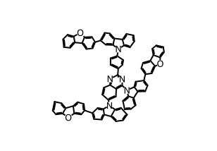 c1ccc2c(c1)oc1cc(-c3ccc4c5ccccc5n(-c5ccc(-c6nc(-n7c8ccccc8c8ccc(-c9ccc%10c(c9)oc9ccccc9%10)cc87)c7cc(-n8c9ccccc9c9ccc(-c%10ccc%11c(c%10)oc%10ccccc%10%11)cc98)ccc7n6)cc5)c4c3)ccc12